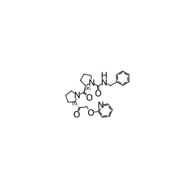 O=C(COc1ccccn1)[C@@H]1CCCN1C(=O)[C@H]1CCCN1C(=O)NCc1ccccc1